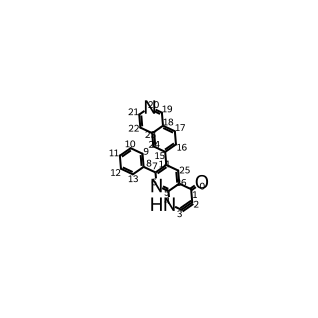 O=c1c#c[nH]c2nc(-c3ccccc3)c(-c3ccc4cnccc4c3)cc12